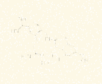 CCO[C@H](C(=O)NCc1ccc(C(=N)N)cc1OCC(N)=O)c1c(F)cc(OC)cc1F